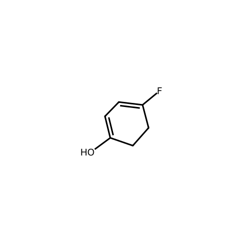 OC1=CC=C(F)CC1